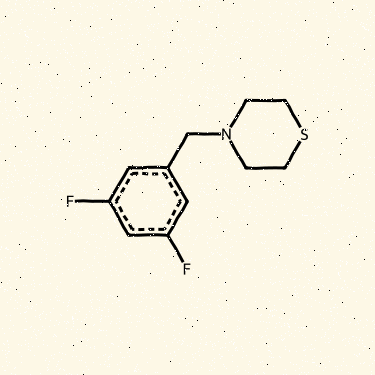 Fc1cc(F)cc(CN2CCSCC2)c1